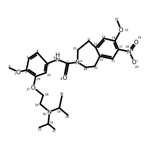 COc1ccc(NC(=O)N2CCc3cc(OC)c([N+](=O)[O-])cc3CC2)cc1OCCN(C(C)C)C(C)C